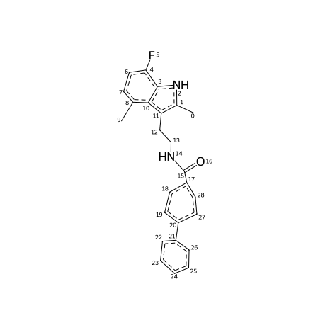 Cc1[nH]c2c(F)ccc(C)c2c1CCNC(=O)c1ccc(-c2ccccc2)cc1